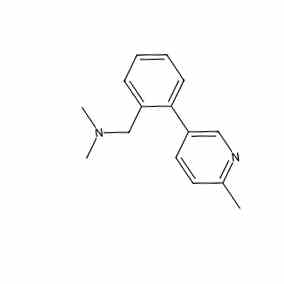 Cc1ccc(-c2ccccc2CN(C)C)cn1